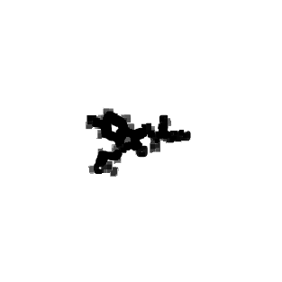 C=CCN1C(=O)C(=NNC(=S)SC)c2ccc(F)cc21